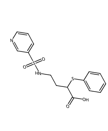 O=C(O)C(CCNS(=O)(=O)c1cccnc1)Sc1ccccc1